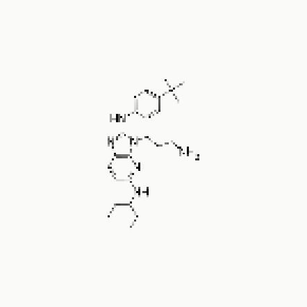 CCC(CC)Nc1ccc2nc(Nc3ccc(C(C)(C)C)cc3)n(CCCN)c2n1